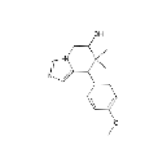 COc1ccc(C2c3cncn3CC(O)C2(C)C)cc1